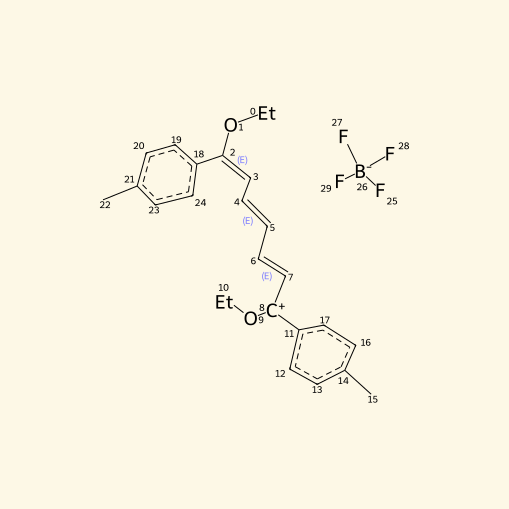 CCO/C(=C/C=C/C=C/[C+](OCC)c1ccc(C)cc1)c1ccc(C)cc1.F[B-](F)(F)F